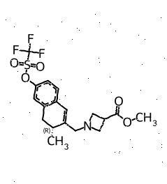 COC(=O)C1CN(CC2=Cc3ccc(OS(=O)(=O)C(F)(F)F)cc3C[C@H]2C)C1